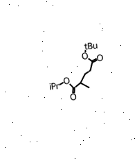 CC(C)OC(=O)C(C)CCC(=O)OC(C)(C)C